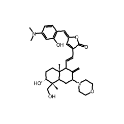 C=C1C(N2CCOCC2)CC2[C@](C)(CC[C@@H](O)[C@@]2(C)CO)C1/C=C/C1=CC(=C\c2ccc(N(C)C)cc2O)/OC1=O